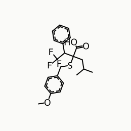 COc1ccc(CSC(CC(C)C)(C(=O)O)C(c2ccccc2)C(F)(F)F)cc1